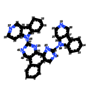 c1ccc2c(c1)c1cnc(-n3c4ccccc4c4cnccc43)nc1c1nc(-n3c4ccccc4c4cnccc43)ncc21